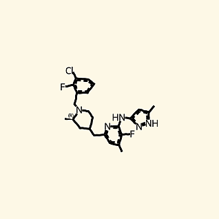 Cc1cc(Nc2nc(CC3CCN(Cc4cccc(Cl)c4F)[C@H](C)C3)cc(C)c2F)n[nH]1